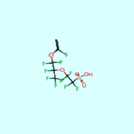 C=C(F)OC(F)(F)C(F)(OC(F)(F)C(F)(F)S(=O)(=O)O)C(F)(F)F